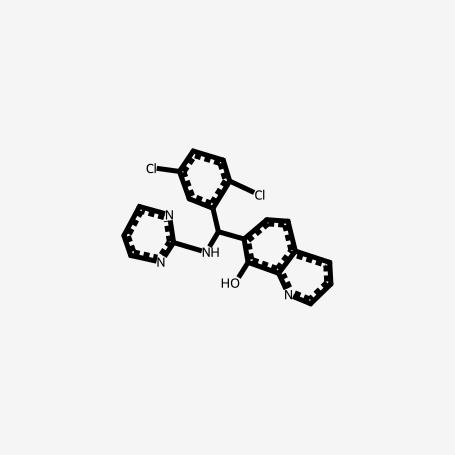 Oc1c(C(Nc2ncccn2)c2cc(Cl)ccc2Cl)ccc2cccnc12